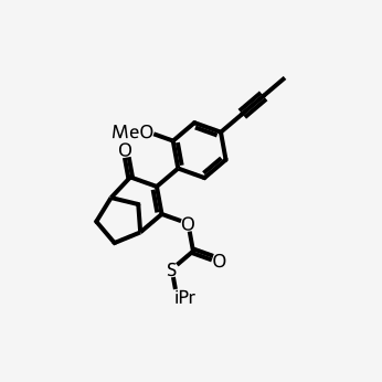 CC#Cc1ccc(C2=C(OC(=O)SC(C)C)C3CCC(C3)C2=O)c(OC)c1